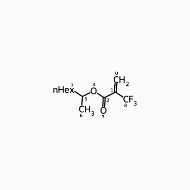 C=C(C(=O)OC(C)CCCCCC)C(F)(F)F